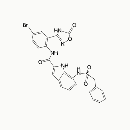 O=C(Nc1ccc(Br)cc1-c1noc(=O)[nH]1)c1cc2cccc(NS(=O)(=O)Cc3ccccc3)c2[nH]1